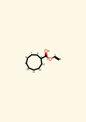 C=COC(=O)C1CCCCCCCC1